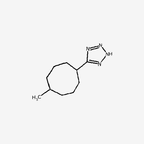 CC1CCCC(c2nn[nH]n2)CCC1